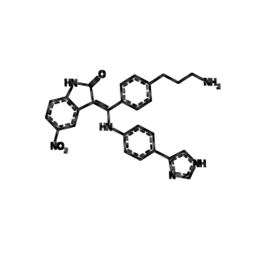 NCCCc1ccc(C(Nc2ccc(-c3c[nH]cn3)cc2)=C2C(=O)Nc3ccc([N+](=O)[O-])cc32)cc1